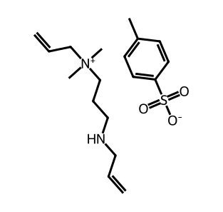 C=CCNCCC[N+](C)(C)CC=C.Cc1ccc(S(=O)(=O)[O-])cc1